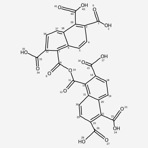 O=C(O)c1ccc2c(C(=O)OC(=O)c3c(C(=O)O)ccc4c(C(=O)O)c(C(=O)O)ccc34)c(C(=O)O)ccc2c1C(=O)O